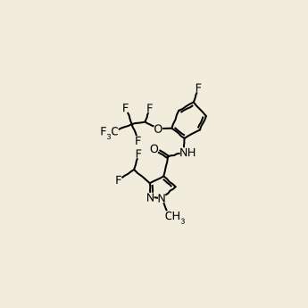 Cn1cc(C(=O)Nc2ccc(F)cc2OC(F)C(F)(F)C(F)(F)F)c(C(F)F)n1